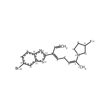 C=C/C(=C\CC=C(C)N1CCC(F)C1)c1nc2ccc(Br)cc2s1